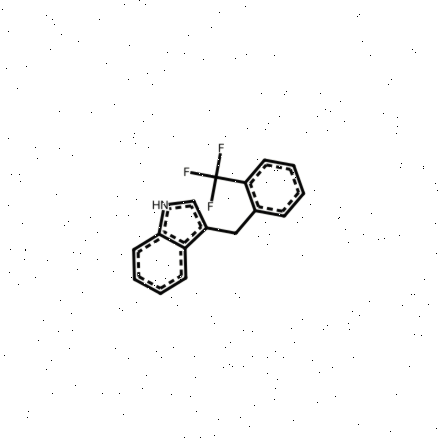 FC(F)(F)c1ccccc1Cc1c[nH]c2ccccc12